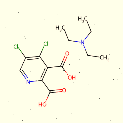 CCN(CC)CC.O=C(O)c1ncc(Cl)c(Cl)c1C(=O)O